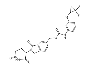 O=C1CCC(N2Cc3ccc(COC(=O)Nc4cccc(OC5CC5(F)F)c4)cc3C2=O)C(=O)N1